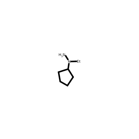 CCN([SiH3])C1CCCC1